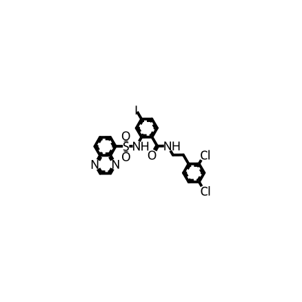 O=C(NCCc1ccc(Cl)cc1Cl)c1ccc(I)cc1NS(=O)(=O)c1cccc2nccnc12